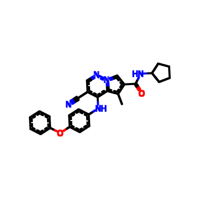 Cc1c(C(=O)NC2CCCC2)cn2ncc(C#N)c(Nc3ccc(Oc4ccccc4)cc3)c12